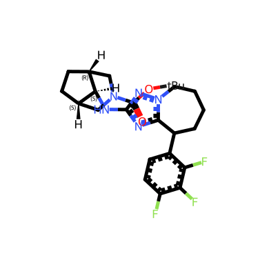 CC(C)(C)OC(=O)N1C[C@H]2CC[C@@H](C1)[C@@H]2Nc1nc2n(n1)CCCCC2c1ccc(F)c(F)c1F